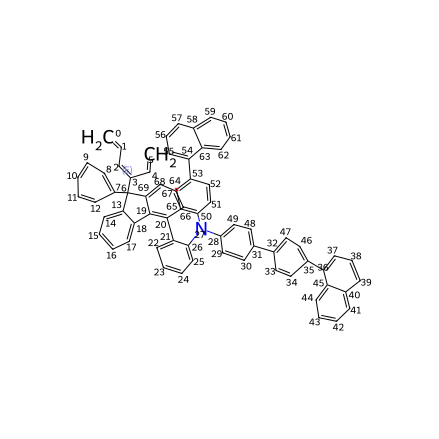 C=C/C=C(\C=C)C1(c2ccccc2)c2ccccc2-c2c(-c3ccccc3N(c3ccc(-c4ccc(-c5cccc6ccccc56)cc4)cc3)c3ccc(-c4cccc5ccccc45)cc3)cccc21